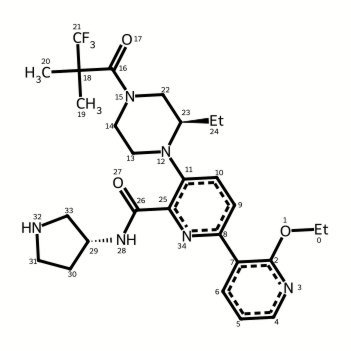 CCOc1ncccc1-c1ccc(N2CCN(C(=O)C(C)(C)C(F)(F)F)C[C@H]2CC)c(C(=O)N[C@@H]2CCNC2)n1